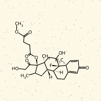 COC(=O)CCC(=O)O[C@]1(C(=O)CO)C(C)C[C@H]2[C@@H]3CCC4=CC(=O)C=C[C@]4(C)[C@@]3(F)C(O)C[C@@]21C